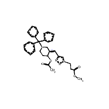 COC(=O)CCn1cc(/C=C2/CN(C(c3ccccc3)(c3ccccc3)c3ccccc3)CCC2SC(C)=O)nn1